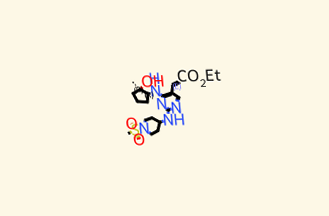 CCOC(=O)/C=C/c1cnc(NC2CCN(S(C)(=O)=O)CC2)nc1N[C@@H]1CCC[C@@]1(C)O